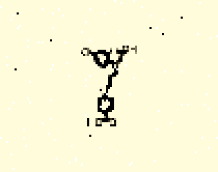 O=C(O)CN(CCCOc1ccc(C(=O)O)cc1)c1ccc(Cl)cc1